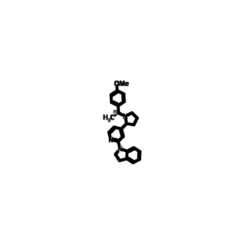 COc1ccc([C@@H](C)N2CCCC2c2ccnc(N3CCc4ccccc43)c2)cc1